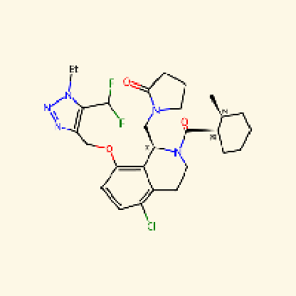 CCn1nnc(COc2ccc(Cl)c3c2[C@@H](CN2CCCC2=O)N(C(=O)[C@@H]2CCCC[C@@H]2C)CC3)c1C(F)F